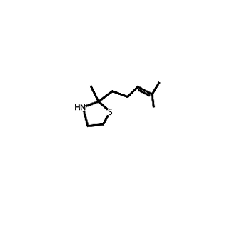 CC(C)=CCCC1(C)NCCS1